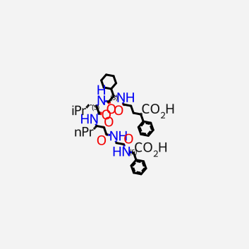 CCCC(NC(=O)[C@H](CC(C)C)NC(=O)[C@@H](NC(=O)CCC(C(=O)O)c1ccccc1)C1CCCCC1)C(=O)C(=O)NCC(=O)N[C@H](C(=O)O)c1ccccc1